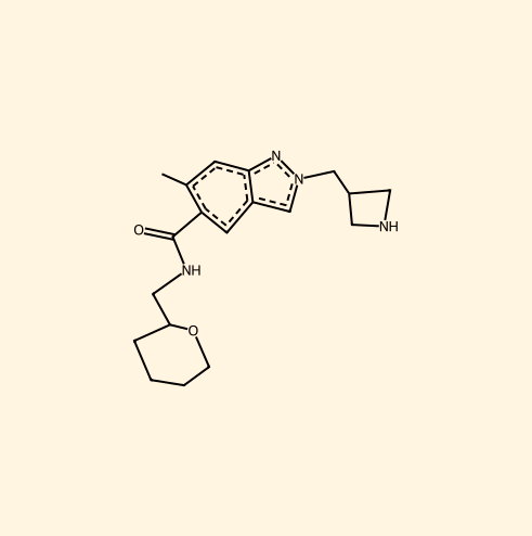 Cc1cc2nn(CC3CNC3)cc2cc1C(=O)NCC1CCCCO1